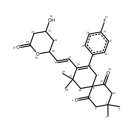 CC1(C)CC(=O)C2(CC(c3ccc(F)cc3)=C(C=CC3CC(O)CC(=O)O3)C(C)(C)C2)C(=O)C1